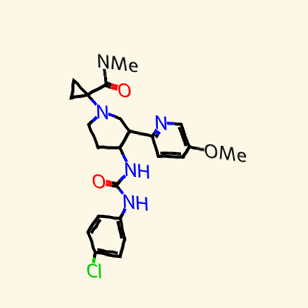 CNC(=O)C1(N2CCC(NC(=O)Nc3ccc(Cl)cc3)C(c3ccc(OC)cn3)C2)CC1